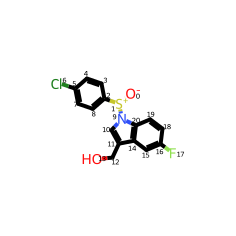 [O-][S+](c1ccc(Cl)cc1)n1cc(CO)c2cc(F)ccc21